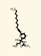 CCCCCCCCCC#Cc1cccc(C(O)(CCO)NC(C)=O)n1